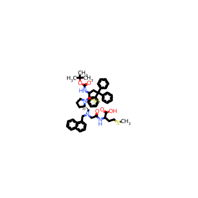 CSCCC(NC(=O)CN(Cc1cccc2ccccc12)C[C@@H]1CCCN1C(S)C(CC(c1ccccc1)(c1ccccc1)c1ccccc1)NC(=O)OC(C)(C)C)C(=O)O